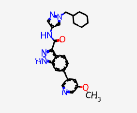 COc1cncc(-c2ccc3c(C(=O)Nc4cnn(CC5CCCCC5)c4)n[nH]c3c2)c1